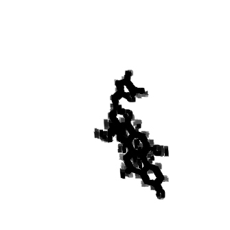 Cc1cc(CN2C[C@@H]3C[C@H]4[C@@H]5C[C@H](F)C6=CC(=O)C=C[C@]6(C)[C@@]5(F)[C@@H](O)C[C@]4(C)[C@]3(C(=O)CO)O2)oc1C